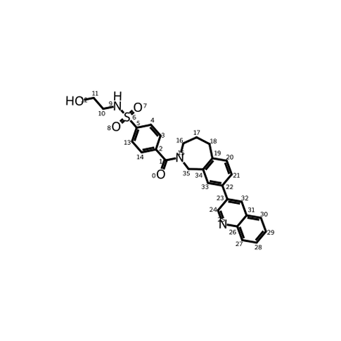 O=C(c1ccc(S(=O)(=O)NCCO)cc1)N1CCCc2ccc(-c3cnc4ccccc4c3)cc2C1